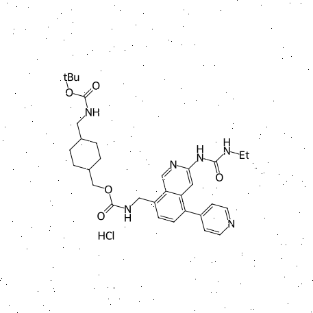 CCNC(=O)Nc1cc2c(-c3ccncc3)ccc(CNC(=O)OCC3CCC(CNC(=O)OC(C)(C)C)CC3)c2cn1.Cl